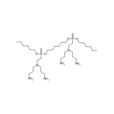 CCCCCCOP(=O)(CCN(CCCN)CCCN)OCCCCCCOP(=O)(CCN(CCCN)CCCN)OCCCCCC